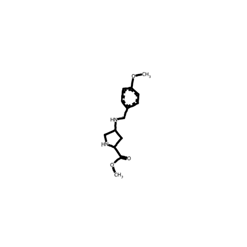 COC(=O)C1CC(NCc2ccc(OC)cc2)CN1